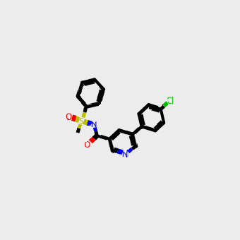 CS(=O)(=NC(=O)c1cncc(-c2ccc(Cl)cc2)c1)C1C=CC=CC1